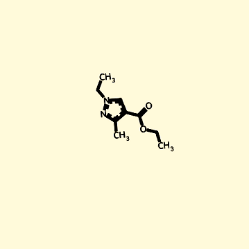 CCOC(=O)c1cn(CC)nc1C